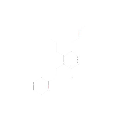 CCCc1c(OCOC)ccc(Br)c1COC1CCCCO1